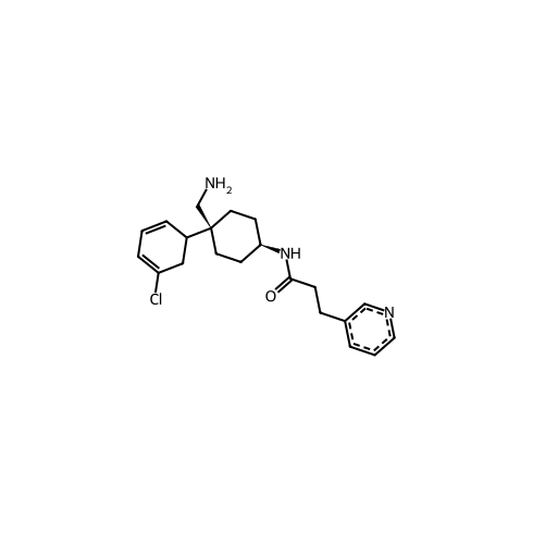 NC[C@]1(C2C=CC=C(Cl)C2)CC[C@H](NC(=O)CCc2cccnc2)CC1